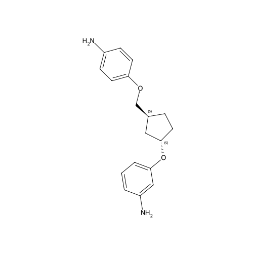 Nc1ccc(OC[C@H]2CC[C@H](Oc3cccc(N)c3)C2)cc1